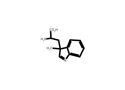 CC1(CC(N)C(=O)O)C=Nc2ccccc21